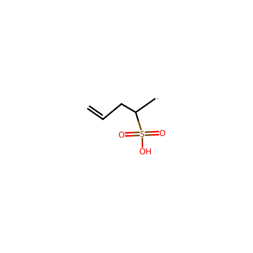 [CH2]C(CC=C)S(=O)(=O)O